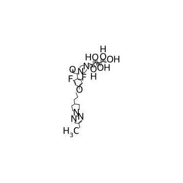 CCc1cnc(N2CCC(CCCOc3cc(F)c(C(C=O)N4CCN(C[C@H](O)[C@@H](O)[C@H](O)[C@H](O)CO)CC4)c(F)c3)CC2)nc1